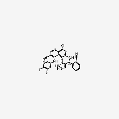 N#Cc1ccccc1[C@H](Nc1cc(Cl)c2ncc(C#N)c(Nc3cnc(F)c(F)c3)c2c1)C1=CNNN1